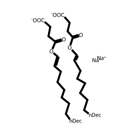 CCCCCCCCCCCCCCCCC=COC(=O)CCC(=O)[O-].CCCCCCCCCCCCCCCCC=COC(=O)CCC(=O)[O-].[Na+].[Na+]